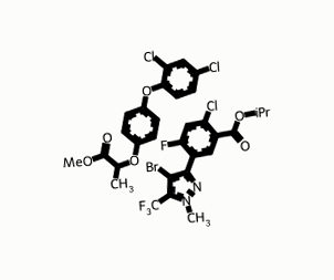 CC(C)OC(=O)c1cc(-c2nn(C)c(C(F)(F)F)c2Br)c(F)cc1Cl.COC(=O)C(C)Oc1ccc(Oc2ccc(Cl)cc2Cl)cc1